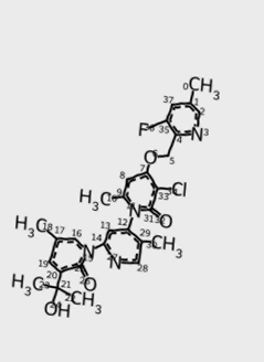 Cc1cnc(COc2cc(C)n(-c3cc(-n4cc(C)cc(C(C)(C)O)c4=O)ncc3C)c(=O)c2Cl)c(F)c1